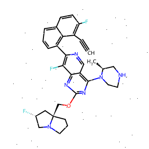 C#Cc1c(F)ccc2cccc(-c3ncc4c(N5CCNC[C@@H]5C)nc(OC[C@@]56CCCN5C[C@H](F)C6)nc4c3F)c12